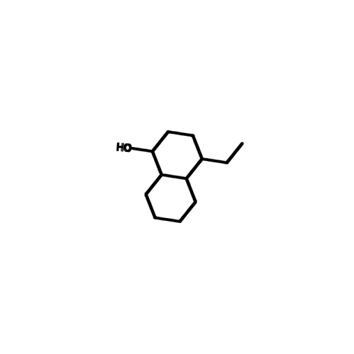 CCC1CCC(O)C2CCCCC12